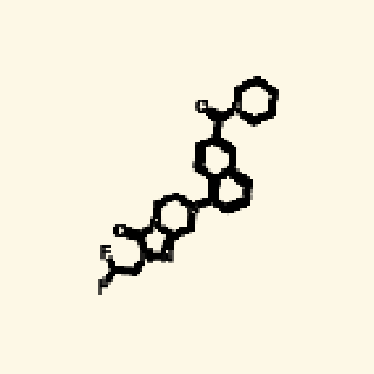 O=C(c1ccc2c(N3CCn4c(nn(CC(F)F)c4=O)C3)cccc2c1)N1CCCCC1